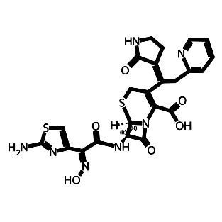 Nc1nc(C(=NO)C(=O)N[C@@H]2C(=O)N3C(C(=O)O)=C(C(Cc4ccccn4)=C4CCNC4=O)CS[C@H]23)cs1